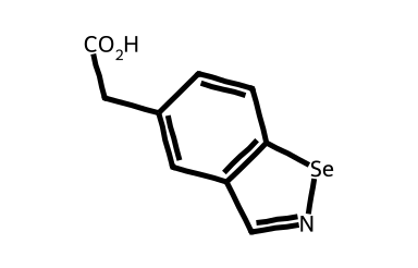 O=C(O)Cc1ccc2[se]ncc2c1